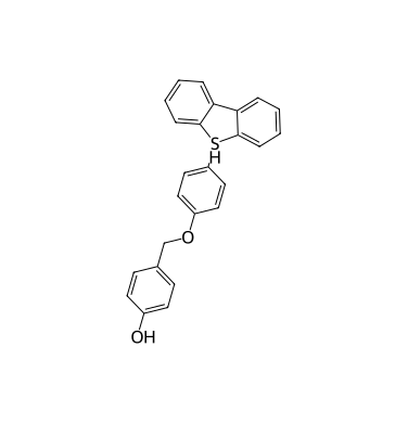 Oc1ccc(COc2ccc([SH]3c4ccccc4-c4ccccc43)cc2)cc1